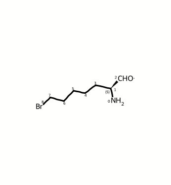 N[C@H]([C]=O)CCCCCBr